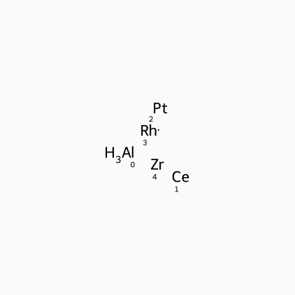 [AlH3].[Ce].[Pt].[Rh].[Zr]